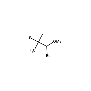 CCC(OC)C(C)(F)C(F)(F)F